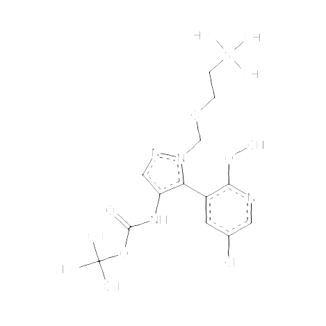 COc1ncc(Cl)cc1-c1c(NC(=O)OC(C)(C)C)cnn1COCC[Si](C)(C)C